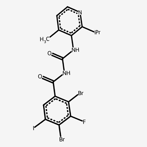 Cc1ccnc(C(C)C)c1NC(=O)NC(=O)c1cc(I)c(Br)c(F)c1Br